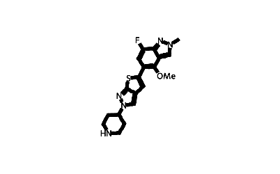 COc1c(-c2cc3cn(C4CCNCC4)nc3s2)cc(F)c2nn(C)cc12